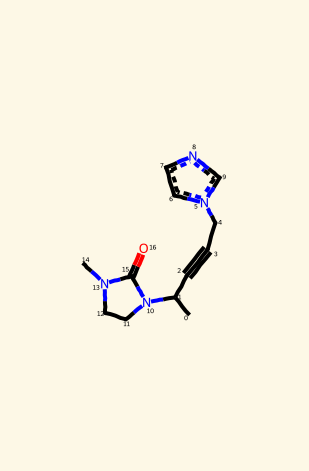 CC(C#CCn1ccnc1)N1CCN(C)C1=O